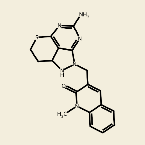 Cn1c(=O)c(CN2NC3CCSc4nc(N)nc2c43)cc2ccccc21